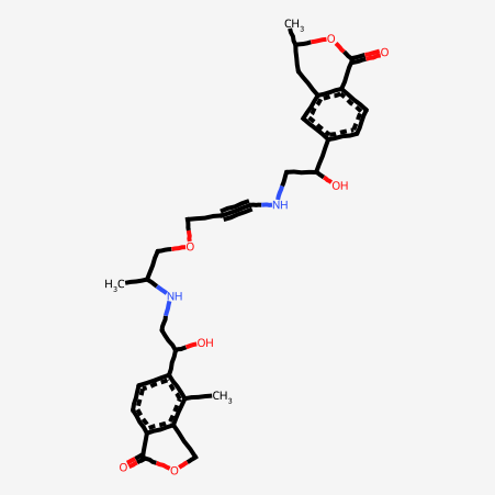 Cc1c(C(O)CNC(C)COCC#CNCC(O)c2ccc3c(c2)CC(C)OC3=O)ccc2c1COC2=O